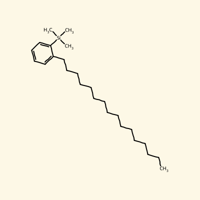 CCCCCCCCCCCCCCCCc1ccccc1[Si](C)(C)C